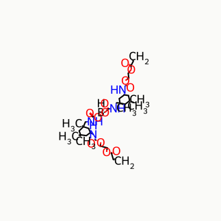 C=CC(=O)OCCOC(=O)NC1CC(C)(C)CC(C)(CNC(=O)OBOC(=O)NCC2(C)CC(NC(=O)OCCOC(=O)C=C)CC(C)(C)C2)C1